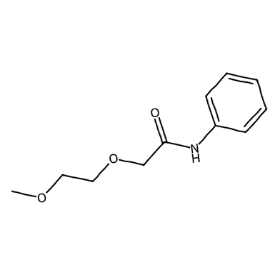 COCCOCC(=O)Nc1ccccc1